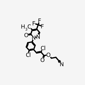 Cc1c(C(F)(F)F)cnn(-c2ccc(Cl)c(C=C(Cl)C(=O)OCCC#N)c2)c1=O